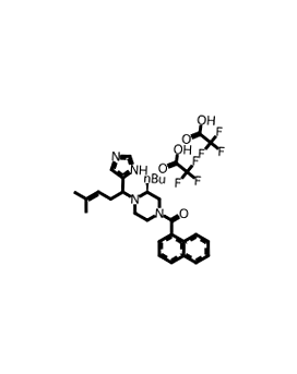 CCCC[C@H]1CN(C(=O)c2cccc3ccccc23)CCN1C(CC=C(C)C)c1cnc[nH]1.O=C(O)C(F)(F)F.O=C(O)C(F)(F)F